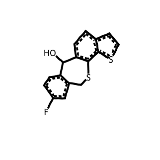 OC1c2ccc(F)cc2CSc2c1ccc1ccsc21